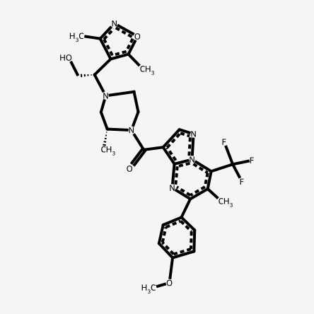 COc1ccc(-c2nc3c(C(=O)N4CCN([C@H](CO)c5c(C)noc5C)C[C@H]4C)cnn3c(C(F)(F)F)c2C)cc1